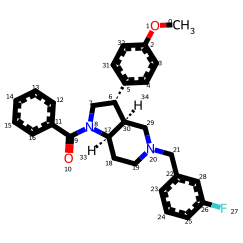 COc1ccc([C@H]2CN(C(=O)c3ccccc3)[C@@H]3CCN(Cc4cccc(F)c4)C[C@H]23)cc1